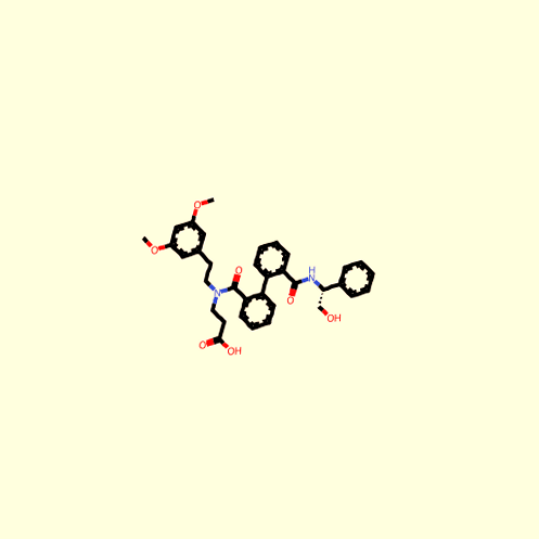 COc1cc(CCN(CCC(=O)O)C(=O)c2ccccc2-c2ccccc2C(=O)N[C@@H](CO)c2ccccc2)cc(OC)c1